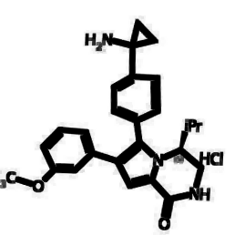 CC(C)[C@H]1CNC(=O)c2cc(-c3cccc(OC(F)(F)F)c3)c(-c3ccc(C4(N)CC4)cc3)n21.Cl